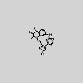 CCn1cc(-c2ccnc(Nc3ccc4c(c3)N(C(C)C)C(C)C(=O)N4C)n2)c(C)n1